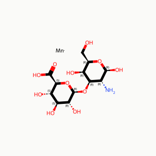 N[C@@H]1[C@@H](O[C@@H]2O[C@H](C(=O)O)[C@@H](O)[C@H](O)[C@H]2O)[C@@H](O)[C@@H](CO)O[C@H]1O.[Mn]